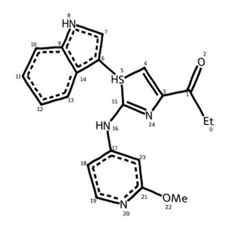 CCC(=O)C1=C[SH](c2c[nH]c3ccccc23)C(Nc2ccnc(OC)c2)=N1